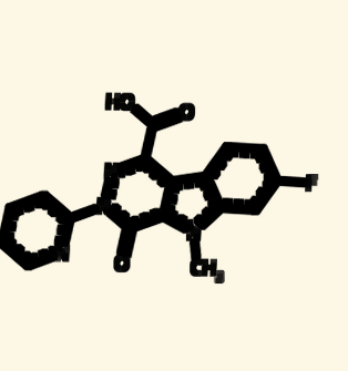 Cn1c2cc(F)ccc2c2c(C(=O)O)nn(-c3ccccn3)c(=O)c21